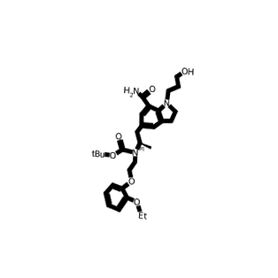 CCOc1ccccc1OCCN(C(=O)OC(C)(C)C)[C@H](C)Cc1cc2c(c(C(N)=O)c1)N(CCCO)CC2